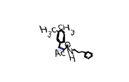 CC(=O)/C(=C/c1ccc(C)c(C)c1)C(=O)NCCCc1ccccc1